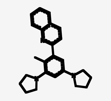 Cc1c(-c2ccc3ccccc3n2)cc(N2CCCC2)cc1N1CCCC1